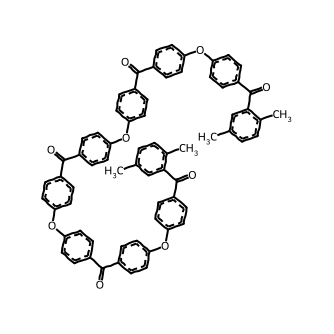 Cc1ccc(C)c(C(=O)c2ccc(Oc3ccc(C(=O)c4ccc(Oc5ccc(C(=O)c6ccc(Oc7ccc(C(=O)c8ccc(Oc9ccc(C(=O)c%10cc(C)ccc%10C)cc9)cc8)cc7)cc6)cc5)cc4)cc3)cc2)c1